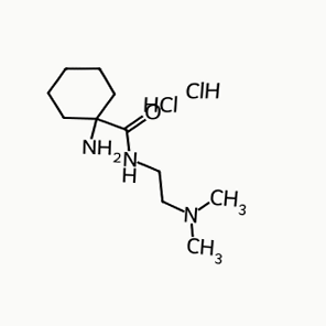 CN(C)CCNC(=O)C1(N)CCCCC1.Cl.Cl